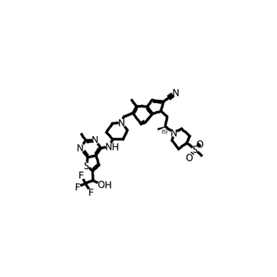 Cc1nc(NC2CCN(Cc3ccc4c(c3C)C=C(C#N)C4C[C@H](C)N3CCC(S(C)(=O)=O)CC3)CC2)c2cc(C(O)C(F)(F)F)sc2n1